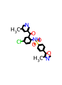 Cc1cncc(C(=O)c2cc(Cl)ccc2NS(=O)(=O)c2ccc(-c3ocnc3C)cc2)c1